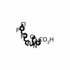 O=C(O)c1ccc2nc(CN3CCC(Cc4cccc(Cc5ccc(Cl)cc5F)n4)CC3)n(CC3CCO3)c2n1